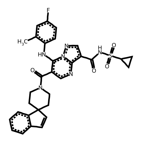 Cc1cc(F)ccc1Nc1c(C(=O)N2CCC3(C=Cc4ccccc43)CC2)cnc2c(C(=O)NS(=O)(=O)C3CC3)cnn12